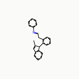 CC1=Cc2ccccc2C1c1ccccc1CC=Nc1ccccc1